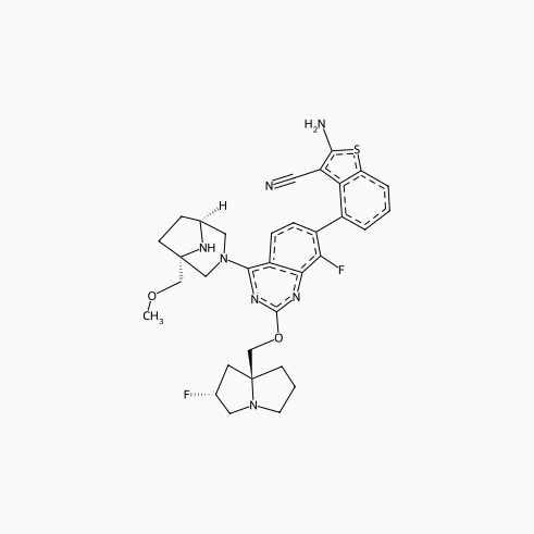 COC[C@@]12CC[C@@H](CN(c3nc(OC[C@@]45CCCN4C[C@H](F)C5)nc4c(F)c(-c5cccc6sc(N)c(C#N)c56)ccc34)C1)N2